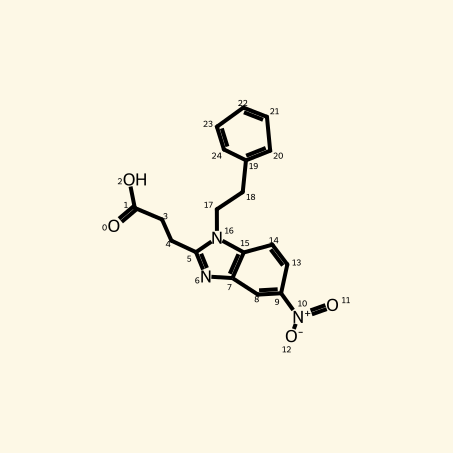 O=C(O)CCc1nc2cc([N+](=O)[O-])ccc2n1CCc1ccccc1